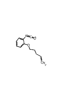 C=CCCCOc1ccccc1N=C=O